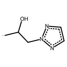 [CH2]C(O)Cn1nccn1